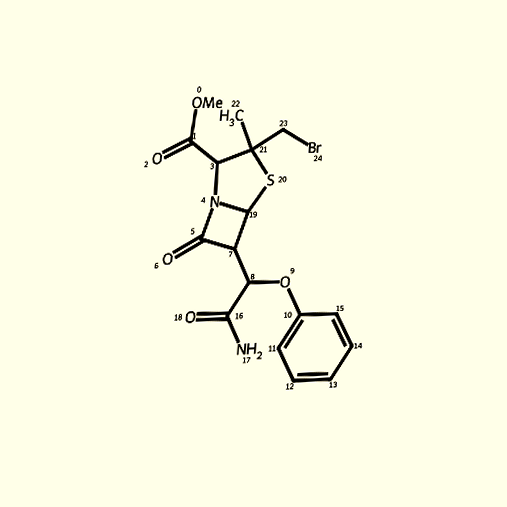 COC(=O)C1N2C(=O)C(C(Oc3ccccc3)C(N)=O)C2SC1(C)CBr